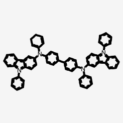 C1=CC(N(c2ccc(-c3ccc(N(c4ccccc4)c4ccc5c(c4)c4ccccc4n5-c4ccccc4)cc3)cc2)c2ccc3c(c2)c2ccccc2n3-c2ccccc2)=CCC1